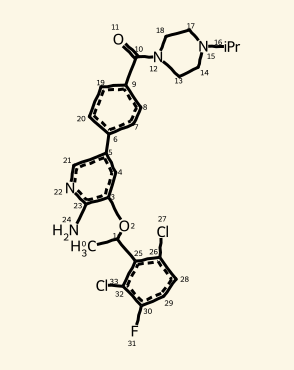 CC(Oc1cc(-c2ccc(C(=O)N3CCN(C(C)C)CC3)cc2)cnc1N)c1c(Cl)ccc(F)c1Cl